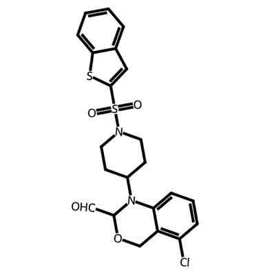 O=CC1OCc2c(Cl)cccc2N1C1CCN(S(=O)(=O)c2cc3ccccc3s2)CC1